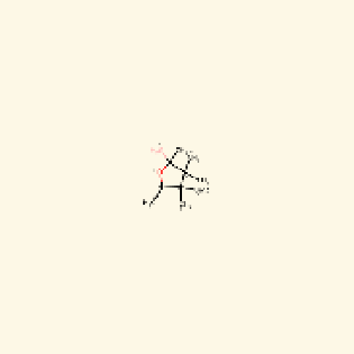 BC1(C)OC(C)C(C)(OC)C1(C)C